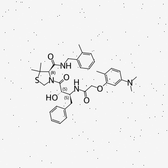 Cc1ccccc1CNC(=O)[C@H]1N(C(=O)[C@@H](O)[C@H](Cc2ccccc2)NC(=O)COc2cc(N(C)C)ccc2C)CSC1(C)C